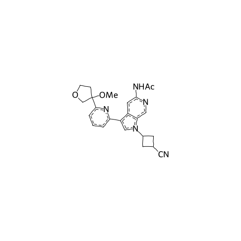 COC1(c2cccc(-c3cn(C4CC(C#N)C4)c4cnc(NC(C)=O)cc34)n2)CCOC1